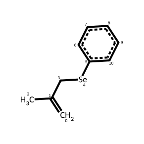 C=C(C)C[Se]c1ccccc1